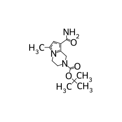 Cc1cc(C(N)=O)c2n1CCN(C(=O)OC(C)(C)C)C2